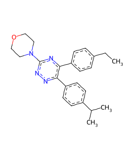 CCc1ccc(-c2nc(N3CCOCC3)nnc2-c2ccc(C(C)C)cc2)cc1